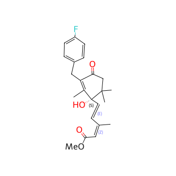 COC(=O)/C=C(C)\C=C\[C@@]1(O)C(C)=C(Cc2ccc(F)cc2)C(=O)CC1(C)C